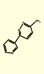 Nc1ccc(-c2cccnc2)nn1